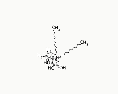 CCCCCCCCCCCCN(C(=O)CCCCCCCCCCC)[C@@H]1O[C@H](CO)[C@@H](O)[C@H](O)[C@@H]1NC(=O)[C@H](C)N